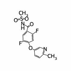 Cc1ccc(Oc2cc(F)c(C(=O)NS(C)(=O)=O)cc2F)cn1